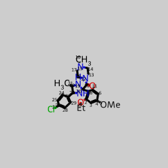 CCOc1cc(OC)ccc1C1(C(=O)N2CCN(C)CC2)NC(C)C(c2ccc(Cl)cc2)N1